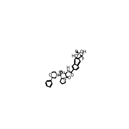 CC(C)(C)C(NC(=O)c1ccc2cc(C(F)(F)P(=O)(O)O)ccc2c1)C(=O)N1CCC[C@H]1C(=O)N1CCO[C@H](c2ccccc2)C1